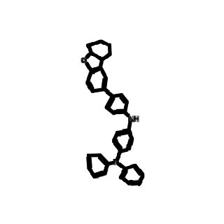 c1ccc(N(c2ccccc2)c2ccc(Nc3ccc(-c4ccc5c(c4)C4CCCCC4O5)cc3)cc2)cc1